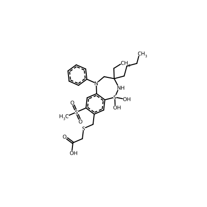 CCCCC1(CC)CN(c2ccccc2)c2cc(S(C)(=O)=O)c(CSCC(=O)O)cc2S(O)(O)N1